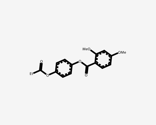 CCC(=O)Oc1ccc(OC(=O)c2ccc(OC)cc2OC)cc1